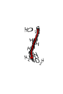 NC(CCCCNC(=O)COCCOCCNC(=O)COCCOCCNC(=O)CCCNC(=O)CCCCCCCCCCCCCCCCC(=O)O)C(=O)O